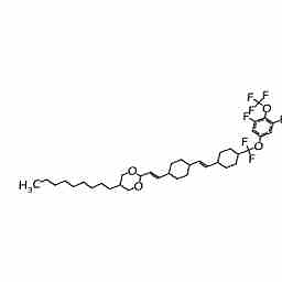 CCCCCCCCCC1COC(/C=C/C2CCC(/C=C/C3CCC(C(F)(F)Oc4cc(F)c(OC(F)(F)F)c(F)c4)CC3)CC2)OC1